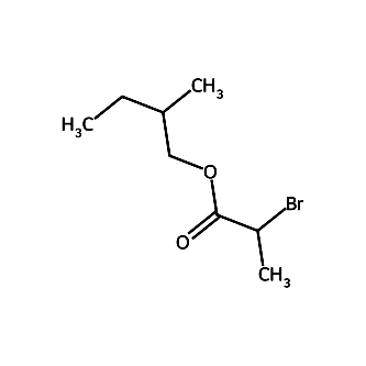 CCC(C)COC(=O)C(C)Br